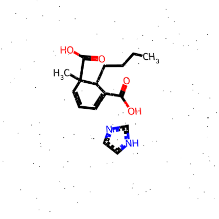 CCCCC1C(C(=O)O)=CC=CC1(C)C(=O)O.c1c[nH]cn1